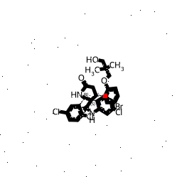 CC(C)(CO)COc1ccc(Br)cc1[C@H]1CC(=O)N[C@@H](c2cc(Cl)ccc2Cl)[C@]12C(=O)Nc1cc(Cl)ccc12